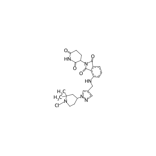 CC1(C)CC(n2cc(CNc3cccc4c3C(=O)N(C3CCC(=O)NC3=O)C4=O)cn2)CCN1Cl